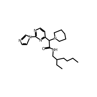 CCCCC(CC)CNC(=O)C(c1ccnc(-n2ccnc2)n1)N1CCCCC1